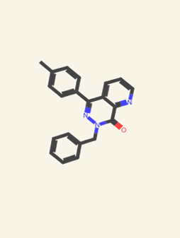 Cc1ccc(-c2nn(Cc3ccccc3)c(=O)c3ncccc23)cc1